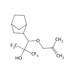 C=C(C)COC(C1CC2CCC1C2)C(O)(C(F)(F)F)C(F)(F)F